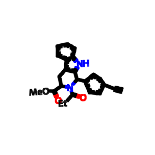 C#Cc1ccc(C2c3[nH]c4ccccc4c3CC(C(=O)OC)N2C(=O)CC)cc1